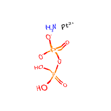 N.O=P([O-])([O-])OP(=O)(O)O.[Pt+2]